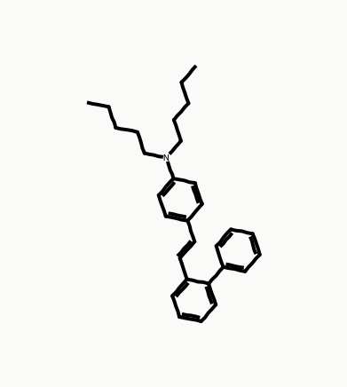 CCCCCN(CCCCC)c1ccc(C=Cc2ccccc2-c2ccccc2)cc1